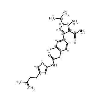 C=C(C)CCc1cc(NC(=O)Cc2ccc(-c3nn(C(C)C)c(N)c3C(N)=O)cc2F)on1